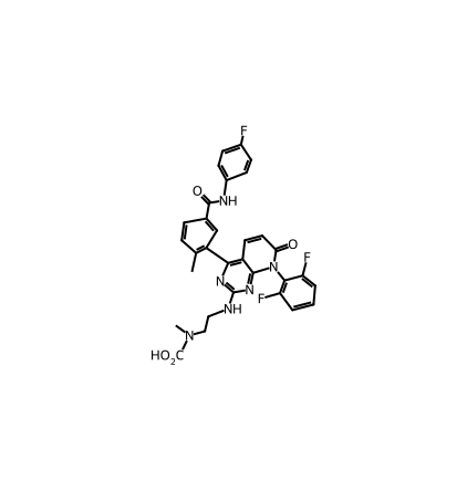 Cc1ccc(C(=O)Nc2ccc(F)cc2)cc1-c1nc(NCCN(C)C(=O)O)nc2c1ccc(=O)n2-c1c(F)cccc1F